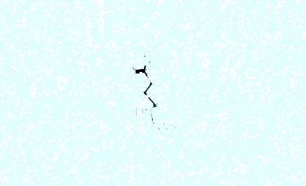 CNNCCCC(N)=O